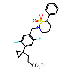 CCOC(=O)CCC1(c2cc(F)c(CN3CCC[C@H](c4ccccc4)S3(=O)=O)cc2F)CC1